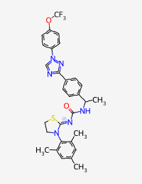 Cc1cc(C)c(N2CCS/C2=N\C(=O)NC(C)c2ccc(-c3ncn(-c4ccc(OC(F)(F)F)cc4)n3)cc2)c(C)c1